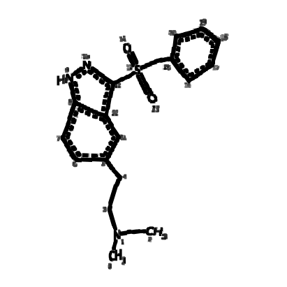 CN(C)CCc1ccc2[nH]nc(S(=O)(=O)c3ccccc3)c2c1